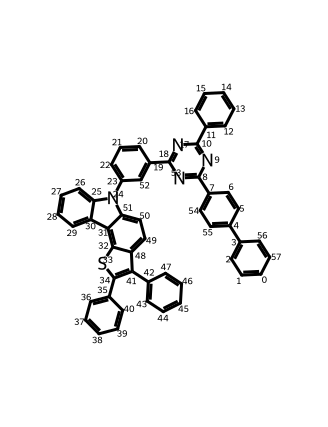 c1ccc(-c2ccc(-c3nc(-c4ccccc4)nc(-c4cccc(-n5c6ccccc6c6c7sc(-c8ccccc8)c(-c8ccccc8)c7ccc65)c4)n3)cc2)cc1